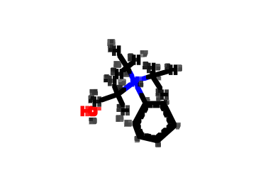 [2H]C([2H])([2H])[N+](c1ccccc1)(C([2H])([2H])[2H])C([2H])([2H])[2H].[OH-]